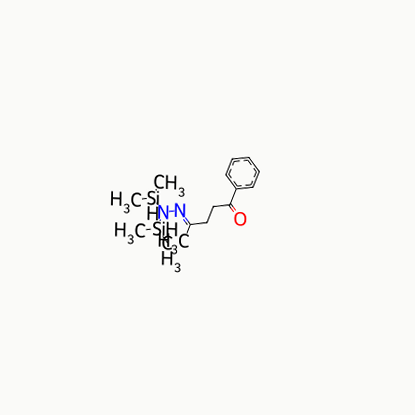 CC(CCC(=O)c1ccccc1)=NN([SiH](C)C)[SiH](C)C